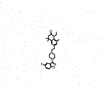 CCN1C(=O)CC(C)(C)c2cc(CCN3CCN(c4nsc5ccc(F)cc45)CC3)cc(C)c21